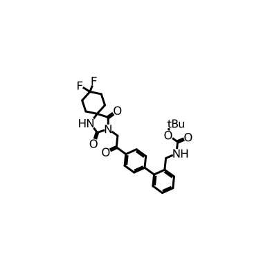 CC(C)(C)OC(=O)NCc1ccccc1-c1ccc(C(=O)CN2C(=O)NC3(CCC(F)(F)CC3)C2=O)cc1